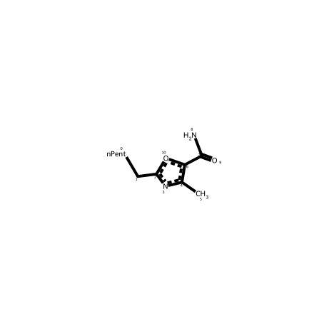 CCCCCCc1nc(C)c(C(N)=O)o1